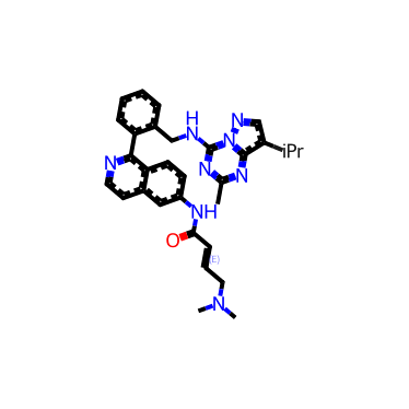 Cc1nc(NCc2ccccc2-c2nccc3cc(NC(=O)/C=C/CN(C)C)ccc23)n2ncc(C(C)C)c2n1